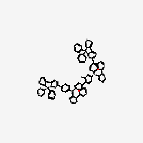 Cc1cc(N(c2ccc(-c3ccc4c(c3)C(c3ccccc3)(c3ccccc3)c3ccccc3-4)cc2)c2ccccc2-c2ccccc2)ccc1-c1ccc(N(c2ccc(-c3ccc4c(c3)C(c3ccccc3)(c3ccccc3)c3ccccc3-4)cc2)c2ccccc2-c2ccccc2)cc1C